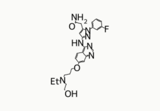 CCN(CCO)CCCOc1ccc2c(Nc3cc(CC(N)=O)n(-c4cccc(F)c4)n3)ncnc2c1